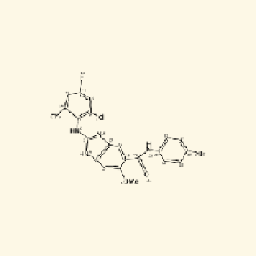 COc1cc2[nH]c(Nc3c(Cl)cc(F)cc3Cl)nc2cc1C(=O)Nc1ccc(Br)cc1